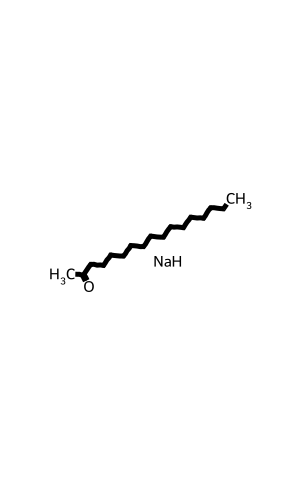 CCCCCCCCCCCCCCCC(C)=O.[NaH]